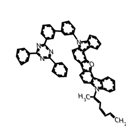 C=C/C=C\C=C(/C)n1c2ccccc2c2c3oc4c(ccc5c4c4ccccc4n5-c4cccc(-c5cccc(-c6nc(-c7ccccc7)nc(-c7ccccc7)n6)c5)c4)c3ccc21